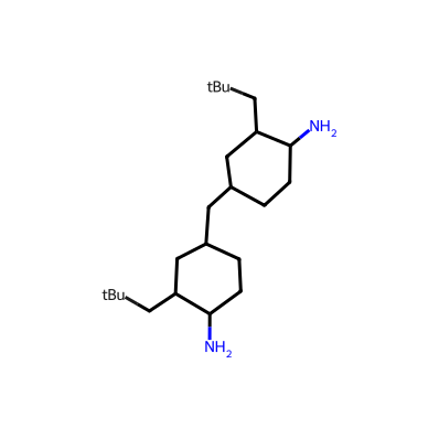 CC(C)(C)CC1CC(CC2CCC(N)C(CC(C)(C)C)C2)CCC1N